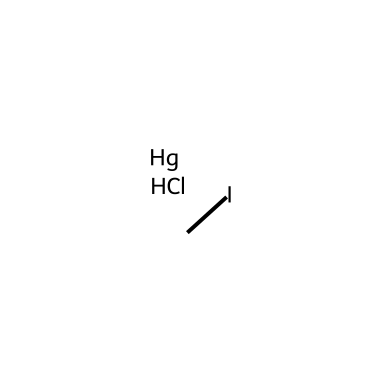 CI.Cl.[Hg]